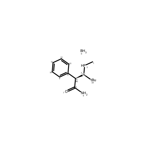 B.CPN([C@@H](C(N)=O)c1ccccc1)C(C)(C)C